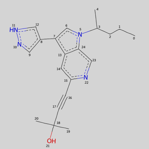 CCCC(C)n1cc(-c2cn[nH]c2)c2cc(C#CC(C)(C)O)ncc21